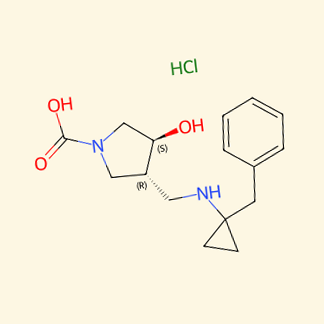 Cl.O=C(O)N1C[C@@H](CNC2(Cc3ccccc3)CC2)[C@H](O)C1